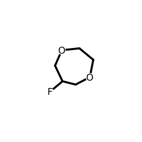 F[C]1COCCOC1